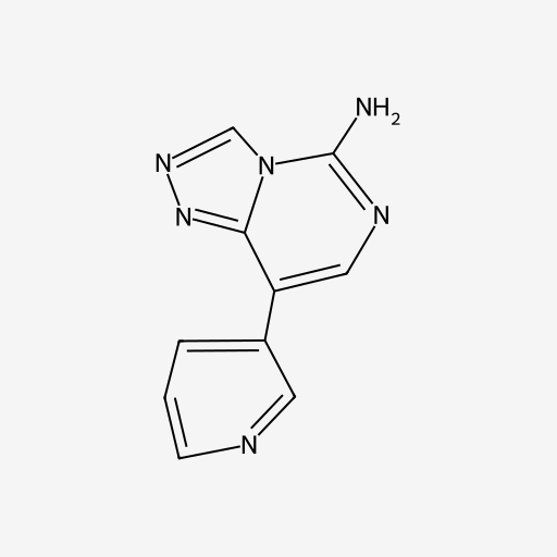 Nc1ncc(-c2cccnc2)c2nncn12